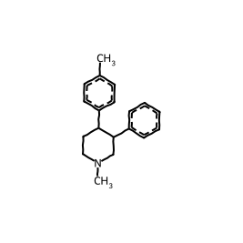 Cc1ccc(C2CCN(C)CC2c2ccccc2)cc1